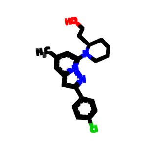 Cc1cc(N2CCCCC2CCO)n2nc(-c3ccc(Cl)cc3)cc2c1